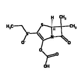 CC[S+]([O-])C1=C(OC(=O)O)N2C(=O)C(C)(C)[C@@H]2S1